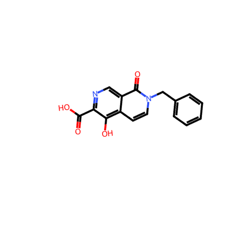 O=C(O)c1ncc2c(=O)n(Cc3ccccc3)ccc2c1O